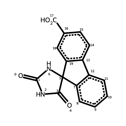 O=C1NC(=O)C2(N1)c1ccccc1-c1ccc(C(=O)O)cc12